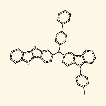 Fc1ccc(-n2c3ccccc3c3cc(N(c4ccc(-c5ccccc5)cc4)c4ccc5c(c4)sc4c6ccccc6sc54)ccc32)cc1